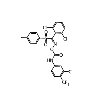 Cc1ccc(S(=O)(=O)C(=NOC(=O)Nc2ccc(C(F)(F)F)c(Cl)c2)c2c(Cl)cccc2Cl)cc1